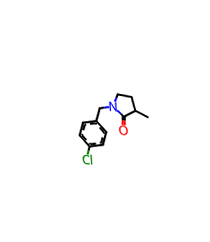 CC1CCN(Cc2ccc(Cl)cc2)C1=O